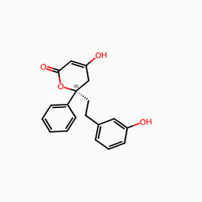 O=C1C=C(O)C[C@@](CCc2cccc(O)c2)(c2ccccc2)O1